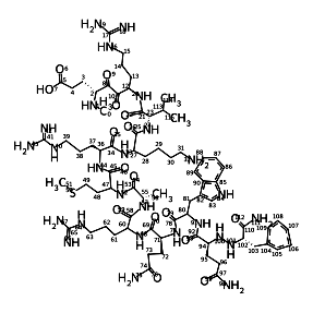 CN[C@H](CCC(=O)O)C(=O)C(=O)C(CCCNC(=N)N)NC(=O)[C@@H](NC(=O)C(CCCCN)NC(=O)[C@H](CCCNC(=N)N)NC(=O)C(CCSC)NC(=O)[C@H](C)NC(=O)C(CCCNC(=N)N)NC(=O)[C@H](CCC(N)=O)NC(=O)C(Cc1c[nH]c2ccccc12)NC(=O)[C@H](CCC(N)=O)NN[C@@H](Cc1ccccc1)C(N)=O)C(C)C